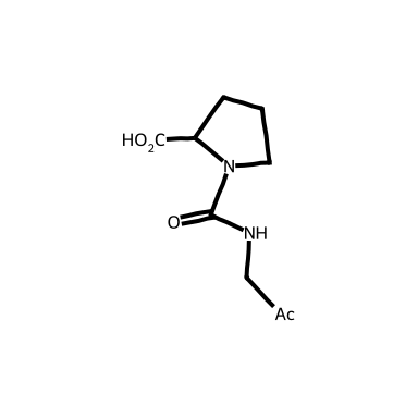 CC(=O)CNC(=O)N1CCCC1C(=O)O